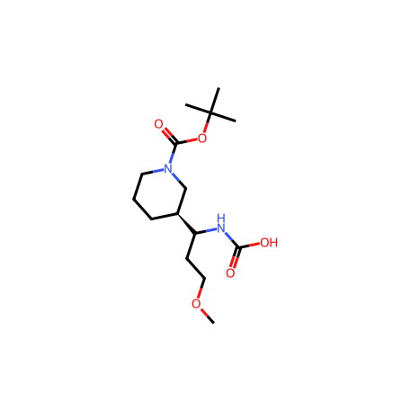 COCCC(NC(=O)O)[C@H]1CCCN(C(=O)OC(C)(C)C)C1